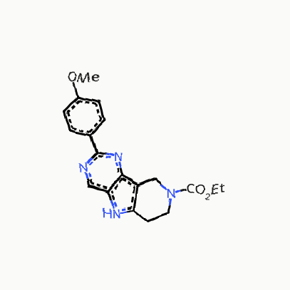 CCOC(=O)N1CCc2[nH]c3cnc(-c4ccc(OC)cc4)nc3c2C1